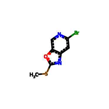 CSc1nc2cc(Br)ncc2o1